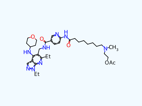 CCc1nc2c(cnn2CC)c(NC2CCOCC2)c1CNC(=O)c1ccc(NC(=O)CCCCCCCN(C)CCOC(C)=O)nc1